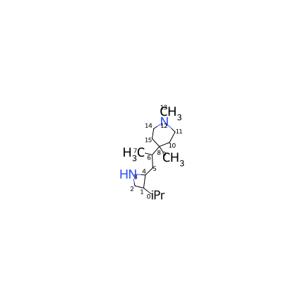 CC(C)C1CNC1CC(C)C1(C)CCN(C)CC1